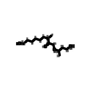 CCCCCCCCCCCCCCCN(C)C(=O)COC(C)CCO